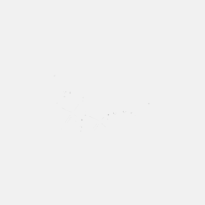 N.O=P(O)(O)O.O=P(O)(O)O.[H+].[H+].[H+].[H+].[H+].[H+].[MgH2].[MgH2].[MgH2]